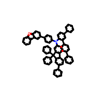 c1ccc(-c2ccc(-c3cc(-c4ccccc4)ccc3N(c3ccc(-c4ccc5oc6ccccc6c5c4)cc3)c3ccc4c(c3)C(c3ccccc3)(c3ccccc3)c3cc(-c5ccccc5)ccc3-4)cc2)cc1